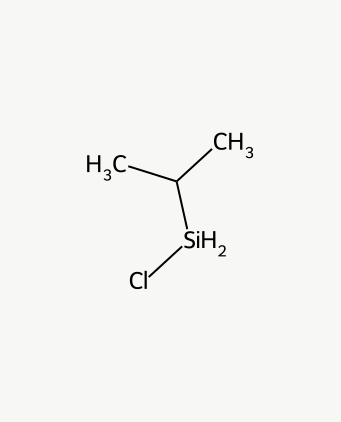 CC(C)[SiH2]Cl